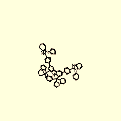 IC1(C2(c3ccccc3)c3cccc4c3-n3c5c(cc(-c6ccc(-c7nc8c(n7C7=CC=CCC7)C=CCC8)cc6)cc5c5cc(-c6ccc(-c7nc8c(n7-c7ccccc7)C=CCC8)cc6)cc2c53)C4(C2=CC=CCC2)C2C=CC=CC2)CCCCC1